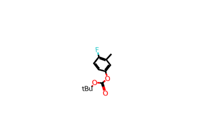 Cc1cc(OC(=O)OC(C)(C)C)ccc1F